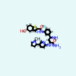 CN1CCCC1c1ccc(N/C(=C/C(=N)c2ccc(F)c(NC(=O)c3cc4c(s3)CC[C@@H](O)C4)c2)C(N)=O)nc1